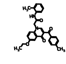 CCOc1ccc2c(c1)c(=O)c(C(=O)c1ccc(C)cc1)cn2CC(=O)Nc1ccccc1C